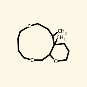 CC1CCCCCCCCCC2OCCCC12C